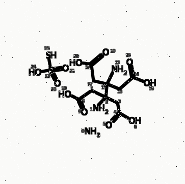 N.NC(CC(=O)O)(CC(=O)O)C(N)(CC(=O)O)CC(=O)O.O=S(=O)(O)S